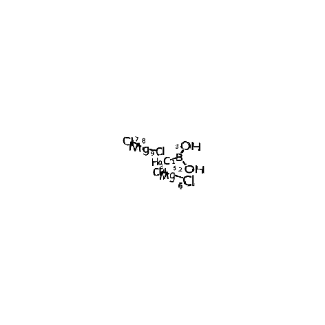 CB(O)O.[Cl][Mg][Cl].[Cl][Mg][Cl]